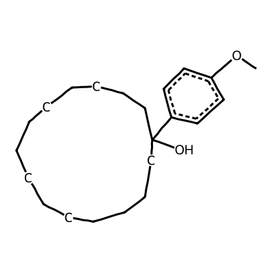 COc1ccc(C2(O)CCCCCCCCCCCCCC2)cc1